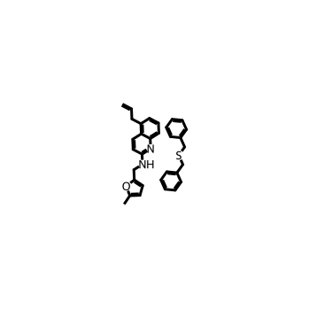 C=CCc1cccc2nc(NCc3ccc(C)o3)ccc12.c1ccc(CSCc2ccccc2)cc1